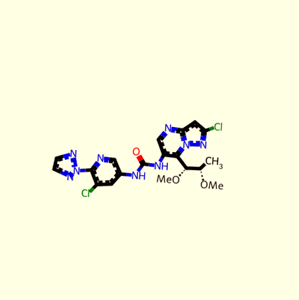 CO[C@@H](C)[C@H](OC)c1c(NC(=O)Nc2cnc(-n3nccn3)c(Cl)c2)cnc2cc(Cl)nn12